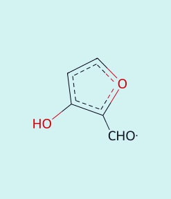 O=[C]c1occc1O